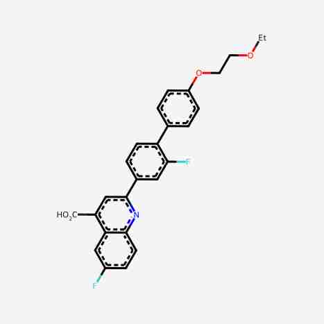 CCOCCOc1ccc(-c2ccc(-c3cc(C(=O)O)c4cc(F)ccc4n3)cc2F)cc1